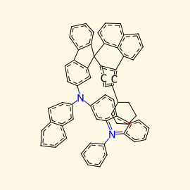 c1ccc(-n2c3ccccc3c3ccc(N(c4ccc5c(c4)C4(c6ccccc6-5)c5ccc(C6CCCCC6)cc5-c5cccc6cccc4c56)c4ccc5ccccc5c4)cc32)cc1